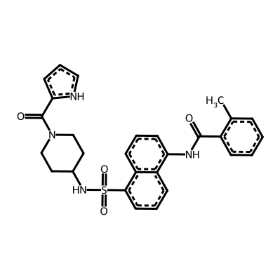 Cc1ccccc1C(=O)Nc1cccc2c(S(=O)(=O)NC3CCN(C(=O)c4ccc[nH]4)CC3)cccc12